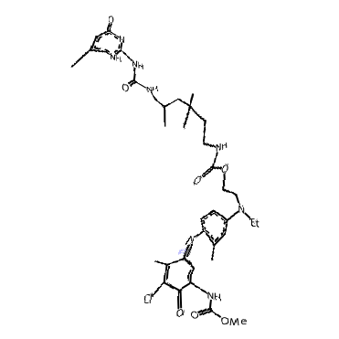 CCN(CCOC(=O)NCCC(C)(C)CC(C)CNC(=O)Nc1nc(=O)cc(C)[nH]1)c1ccc(/N=C2\C=C(NC(=O)OC)C(=O)C(Cl)=C2C)c(C)c1